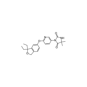 CCC1(CC)OCc2ccc(Oc3ccc(N4C(=O)NC(C)(C)C4=O)cn3)cc21